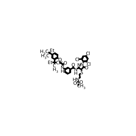 CCC(C)(C)c1ccc(OCC(=O)Nc2cccc(C(=O)NC3=NN(c4c(Cl)cc(Cl)cc4Cl)C(=O)C3SCCNS(C)(=O)=O)c2)c(C(C)(C)CC)c1